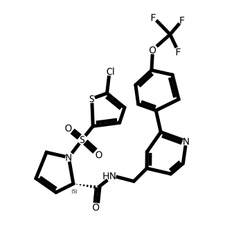 O=C(NCc1ccnc(-c2ccc(OC(F)(F)F)cc2)c1)[C@@H]1C=CCN1S(=O)(=O)c1ccc(Cl)s1